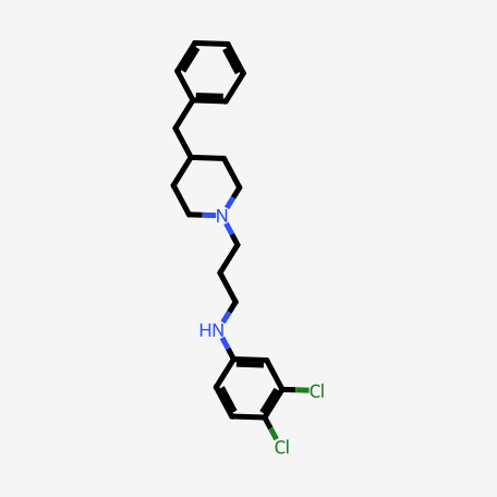 Clc1ccc(NCCCN2CCC(Cc3ccccc3)CC2)cc1Cl